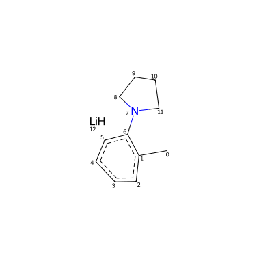 Cc1ccccc1N1CCCC1.[LiH]